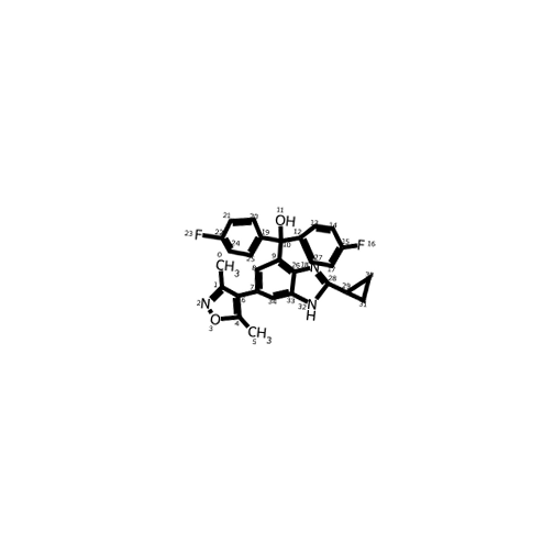 Cc1noc(C)c1-c1cc(C(O)(c2ccc(F)cc2)c2ccc(F)cc2)c2nc(C3CC3)[nH]c2c1